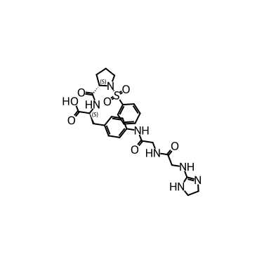 O=C(CNC1=NCCN1)NCC(=O)Nc1ccc(C[C@H](NC(=O)[C@@H]2CCCN2S(=O)(=O)c2ccccc2)C(=O)O)cc1